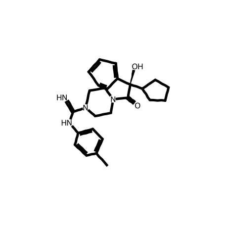 Cc1ccc(NC(=N)N2CCN(C(=O)[C@](O)(c3ccccc3)C3CCCC3)CC2)cc1